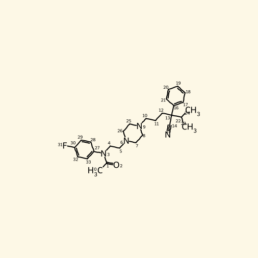 CC(=O)N(CCN1CCN(CCCC(C#N)(c2ccccc2)C(C)C)CC1)c1ccc(F)cc1